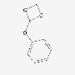 c1ccc(O[C]2OCO2)cc1